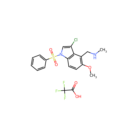 CNCc1c(OC)ccc2c1c(Cl)cn2S(=O)(=O)c1ccccc1.O=C(O)C(F)(F)F